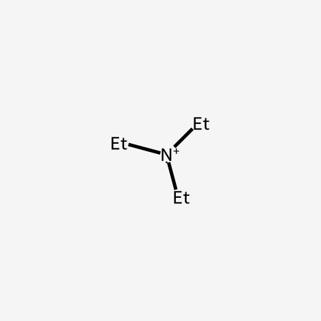 [CH2]C[N+](C[CH2])C[CH2]